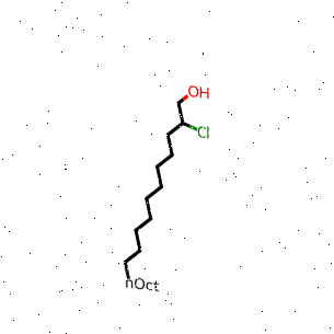 CCCCCCCCCCCCCCCCCC(Cl)CO